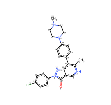 Cc1[nH]cc2c(=O)n(-c3ccc(Cl)cc3)nc-2c1-c1ccc(N2CCN(C)CC2)cc1